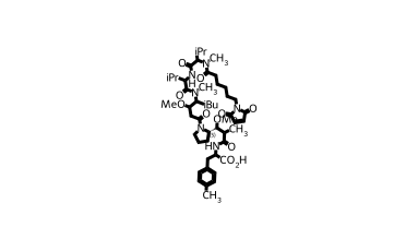 CCC(C)C(C(CC(=O)N1CCC[C@H]1C(OC)C(C)C(=O)NC(Cc1ccc(C)cc1)C(=O)O)OC)N(C)C(=O)C(NC(=O)C(C(C)C)N(C)C(=O)CCCCCN1C(=O)C=CC1=O)C(C)C